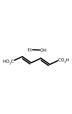 CCO.O=C(O)C=CC=CC(=O)O